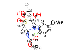 COc1ccc(F)c([C@@]2(CO)N/C(=N\C(=O)OC(C)(C)C)C(C)(C)S(=O)(=O)[C@@H]2C[C@@H](C)O)c1